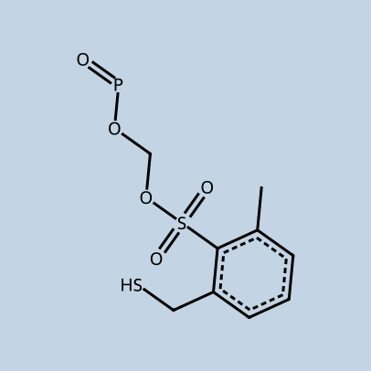 Cc1cccc(CS)c1S(=O)(=O)OCOP=O